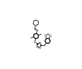 Cc1cc(Oc2nc(Cc3ccc4c(c3)OCO4)ns2)c(C)cc1N=CN1CCCCC1